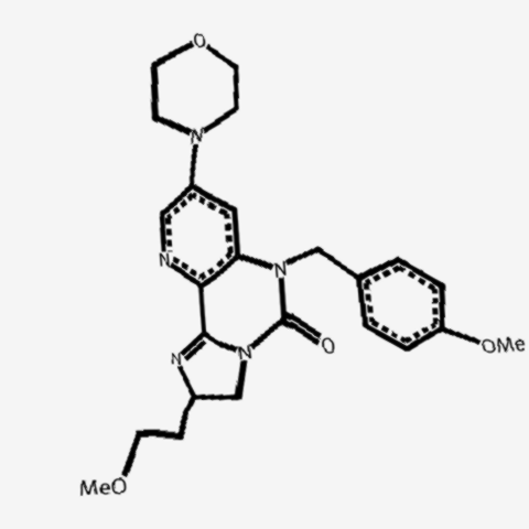 COCCC1CN2C(=O)N(Cc3ccc(OC)cc3)c3cc(N4CCOCC4)cnc3C2=N1